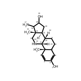 C[C@]12C=CC(O)=CC1CC[C@@H]1[C@H]2NC[C@]2(C)C(N)C(O)C[C@@H]12